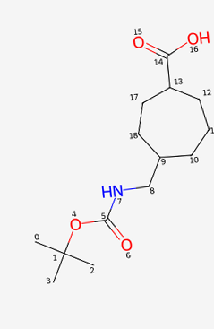 CC(C)(C)OC(=O)NCC1CCCC(C(=O)O)CC1